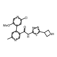 COc1cnc(Cl)cc1-c1cc(C)ncc1C(=O)Nc1nnc(C2CNC2)s1